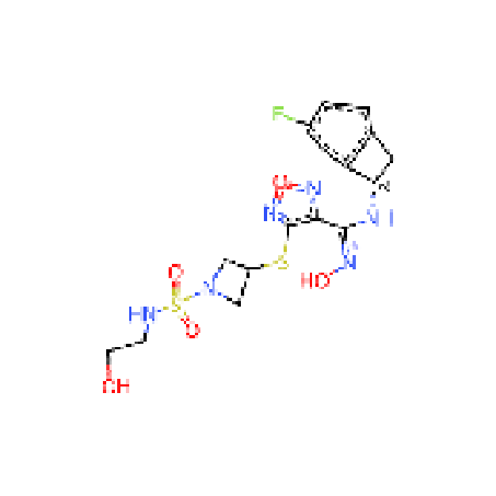 O=S(=O)(NCCO)N1CC(Sc2nonc2/C(=N\O)N[C@H]2Cc3ccc(F)cc32)C1